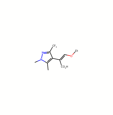 CCOC=C(C(=O)O)c1c(C(F)(F)F)nn(C)c1C